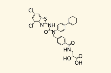 O=C(NC[C@@H](O)C(=O)O)c1ccc(CN(C(=O)Nc2nc3c(Cl)cc(Cl)cc3s2)c2ccc(C3=CCCCC3)cc2)cc1